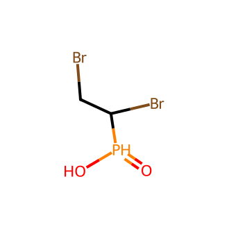 O=[PH](O)C(Br)CBr